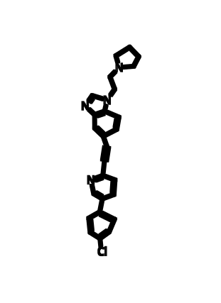 Clc1ccc(-c2ccc(C#Cc3ccc4c(c3)ncn4CCN3CCCC3)nc2)cc1